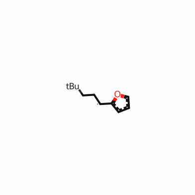 CC(C)(C)CC[CH]c1ccco1